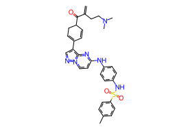 C=C(CCN(C)C)C(=O)C1C=CC(c2cnn3ccc(Nc4ccc(NS(=O)(=O)c5ccc(C)cc5)cc4)nc23)=CC1